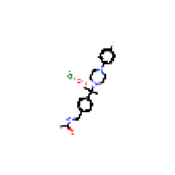 CC(=O)NCc1ccc(C(C)(C)N2CCN(c3ccc(F)cc3)CC2)cc1.Cl.Cl.O